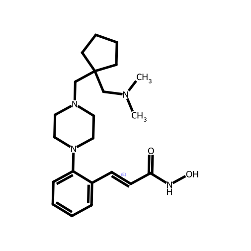 CN(C)CC1(CN2CCN(c3ccccc3/C=C/C(=O)NO)CC2)CCCC1